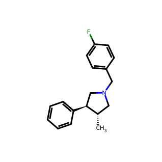 C[C@H]1CN(Cc2ccc(F)cc2)C[C@@H]1c1ccccc1